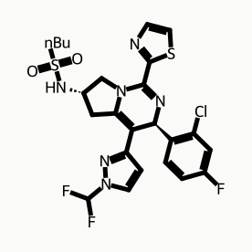 CCCCS(=O)(=O)N[C@H]1CC2=C(c3ccn(C(F)F)n3)[C@H](c3ccc(F)cc3Cl)N=C(c3nccs3)N2C1